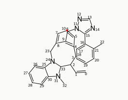 C=CC1Cc2cccc(c2Cn2ncnc2-c2ccccc2C)CN2c3ccccc3N(C)C12